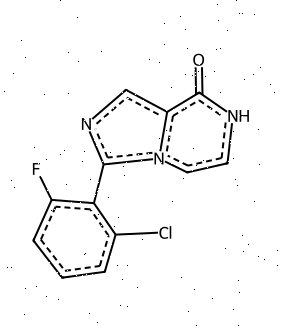 O=c1[nH]ccn2c(-c3c(F)cccc3Cl)ncc12